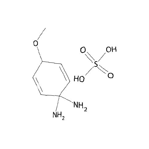 COC1C=CC(N)(N)C=C1.O=S(=O)(O)O